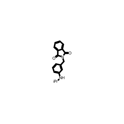 CC(C)Nc1cccc(CN2C(=O)c3ccccc3C2=O)c1